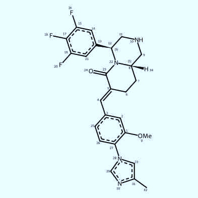 COc1cc(C=C2CC[C@H]3CNC[C@H](c4cc(F)c(F)c(F)c4)N3C2=O)ccc1-n1cnc(C)c1